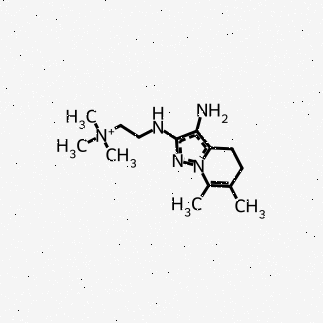 CC1=C(C)n2nc(NCC[N+](C)(C)C)c(N)c2CC1